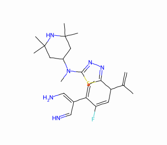 C=C(C)C(\C=C(F)/C(=C\C)C(/C=N)=C/N)c1nnc(N(C)C2CC(C)(C)NC(C)(C)C2)s1